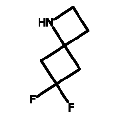 FC1(F)CC2(CCN2)C1